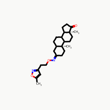 Cc1cc(CCON=C2CC[C@@]3(C)C(CCC4C3CC[C@]3(C)C(=O)CCC43)C2)no1